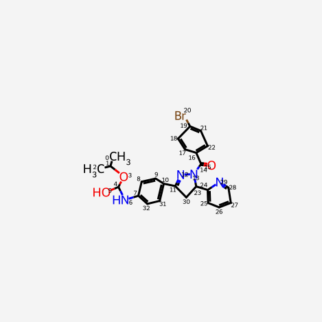 CC(C)OC(O)Nc1ccc(C2=NN(C(=O)c3ccc(Br)cc3)C(c3ccccn3)C2)cc1